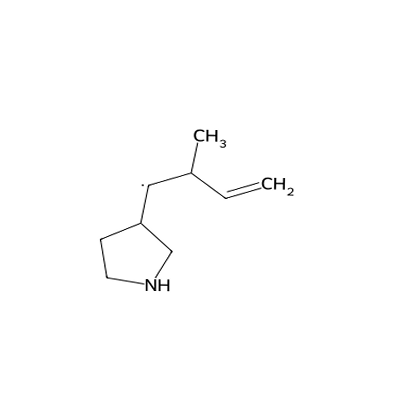 C=CC(C)[CH]C1CCNC1